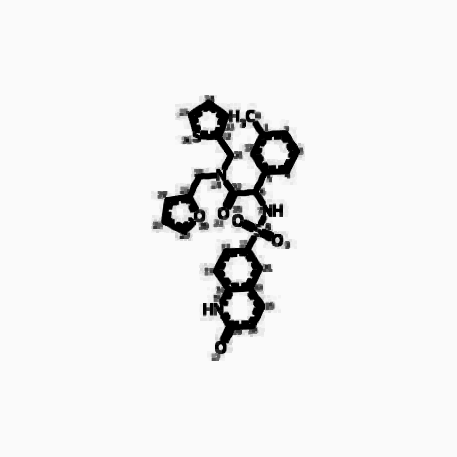 Cc1cccc(C(NS(=O)(=O)c2ccc3[nH]c(=O)ccc3c2)C(=O)N(Cc2ccco2)Cc2cccs2)c1